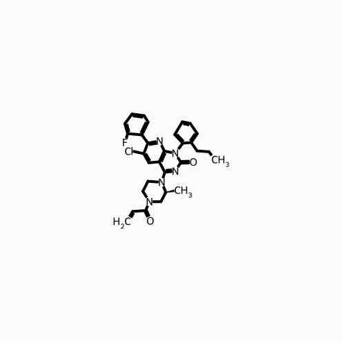 C=CC(=O)N1CCN(c2nc(=O)n(-c3ccccc3CCC)c3nc(-c4ccccc4F)c(Cl)cc23)[C@@H](C)C1